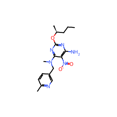 CCC[C@H](C)Oc1nc(N)c([N+](=O)[O-])c(N(C)Cc2ccc(C)nc2)n1